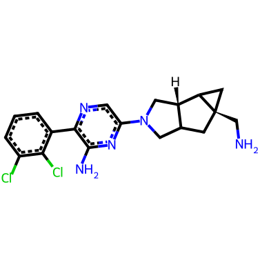 NC[C@@]12CC3CN(c4cnc(-c5cccc(Cl)c5Cl)c(N)n4)C[C@@H]3C1C2